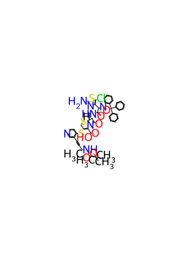 CC(C#Cc1cnccc1SC1=C(C(=O)O)N2C(=O)[C@@H](NC(=O)/C(=N\OC(c3ccccc3)(c3ccccc3)c3ccccc3)c3nc(N)sc3Cl)[C@@H]2SC1)NC(=O)OC(C)(C)C